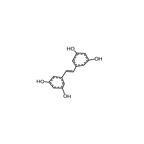 Oc1cc(O)cc(/C=C/c2cc(O)cc(O)c2)c1